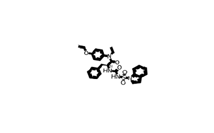 CCOc1ccc(N(CC)C(=O)[C@H](Cc2ccccc2)NC(=O)NS(=O)(=O)n2ccc3ccccc32)cc1